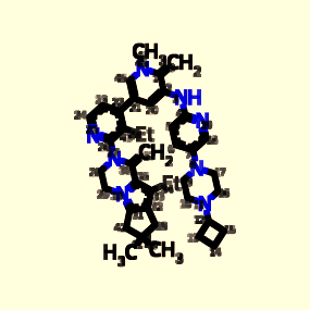 C=C1C(Nc2ccc(N3CCN(C4CCC4)CC3)cn2)=CC(c2ccnc(N3CCn4c5c(c(CC)c4C3=C)CC(C)(C)C5)c2CC)=CN1C